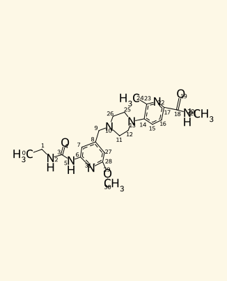 CCNC(=O)Nc1cc(CN2CCN(c3ccc(C(=O)NC)nc3C)CC2)cc(OC)n1